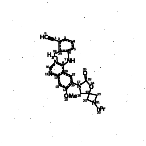 C#Cc1cccc(Nc2ncnc3cc(OC)c(N4CC5(CN(CCC)C5)OC4=O)cc23)c1C